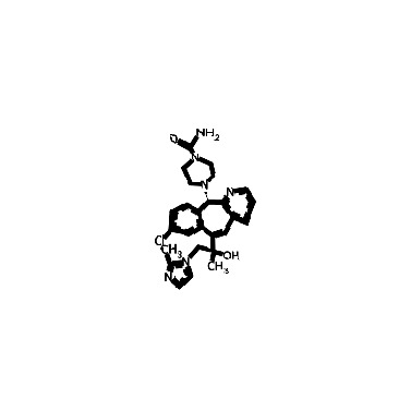 Cc1nccn1CC(C)(O)C1=Cc2cccnc2[C@@H](N2CCN(C(N)=O)CC2)c2ccc(Cl)cc21